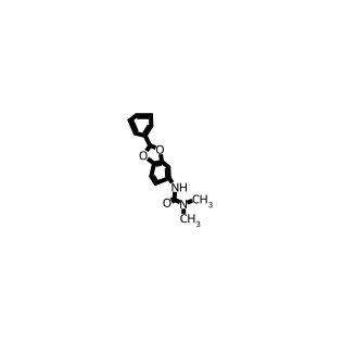 CN(C)C(=O)Nc1ccc2c(c1)OC(c1ccccc1)O2